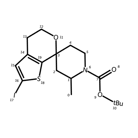 CC1CC2(CCN1C(=O)OC(C)(C)C)OCCc1cc(I)sc12